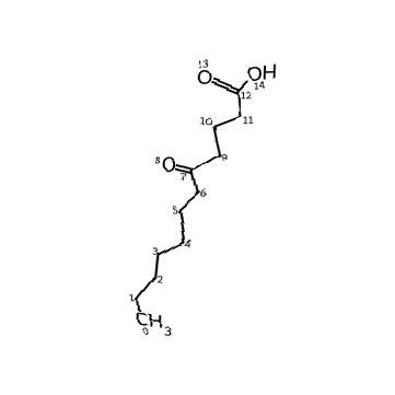 CCCCCCCC(=O)CCCC(=O)O